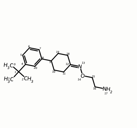 CC(C)(C)c1cccc(C2CCC(=NOCCN)CC2)c1